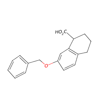 O=C(O)C1CCCc2ccc(OCc3ccccc3)cc21